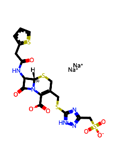 O=C(Cc1cccs1)NC1C(=O)N2C(C(=O)[O-])=C(CSc3nc(CS(=O)(=O)[O-])n[nH]3)CS[C@@H]12.[Na+].[Na+]